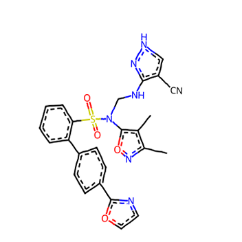 Cc1noc(N(CNc2n[nH]cc2C#N)S(=O)(=O)c2ccccc2-c2ccc(-c3ncco3)cc2)c1C